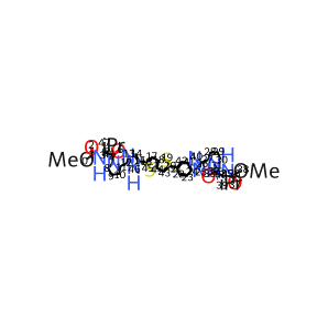 COC(=O)N[C@@H](C(=O)N1CCCC1c1ncc(-c2cc3sc(-c4ccc5[nH]c(C6CCCN6C(=O)[C@H](NC(=O)OC)C(C)C)nc5c4)cc3s2)[nH]1)C(C)C